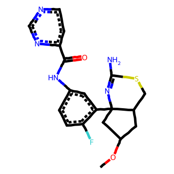 COC1CC2CSC(N)=NC2(c2cc(NC(=O)c3ccncn3)ccc2F)C1